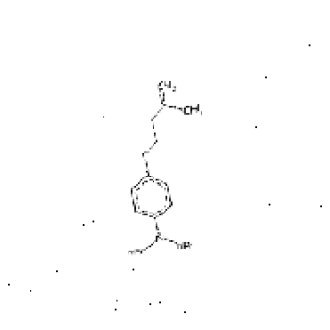 C=C(C)CCCc1ccc(N(CCC)CCC)cc1